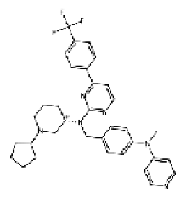 CN(c1ccncc1)c1ccc(CN(c2nccc(-c3ccc(C(F)(F)F)cc3)n2)[C@H]2CCCN(C3CCCC3)C2)cc1